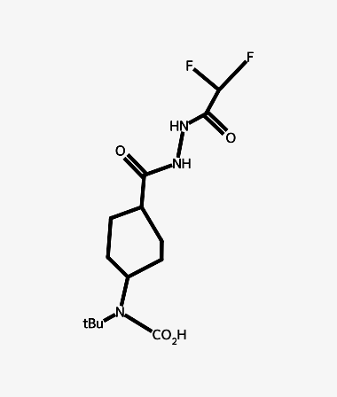 CC(C)(C)N(C(=O)O)C1CCC(C(=O)NNC(=O)C(F)F)CC1